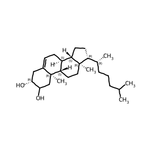 CC(C)CCC[C@@H](C)[C@H]1CC[C@H]2[C@@H]3CC=C4C[C@@H](O)C(O)C[C@]4(C)[C@H]3CC[C@]12C